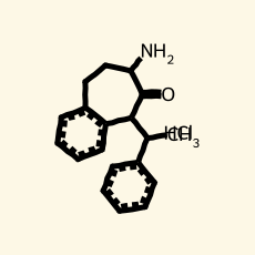 CC(c1ccccc1)C1C(=O)C(N)CCc2ccccc21.Cl